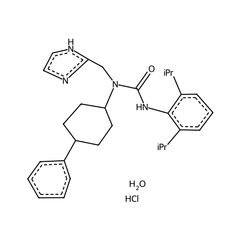 CC(C)c1cccc(C(C)C)c1NC(=O)N(Cc1ncc[nH]1)C1CCC(c2ccccc2)CC1.Cl.O